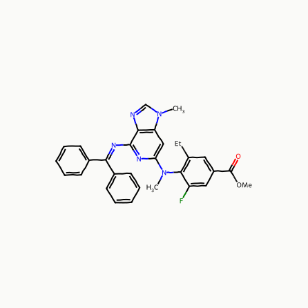 CCc1cc(C(=O)OC)cc(F)c1N(C)c1cc2c(ncn2C)c(N=C(c2ccccc2)c2ccccc2)n1